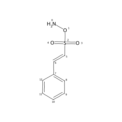 NOS(=O)(=O)C=Cc1ccccc1